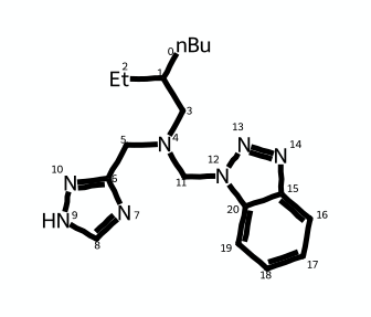 CCCCC(CC)CN(Cc1nc[nH]n1)Cn1nnc2ccccc21